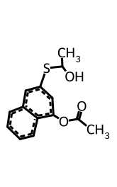 CC(=O)Oc1cc(SC(C)O)cc2ccccc12